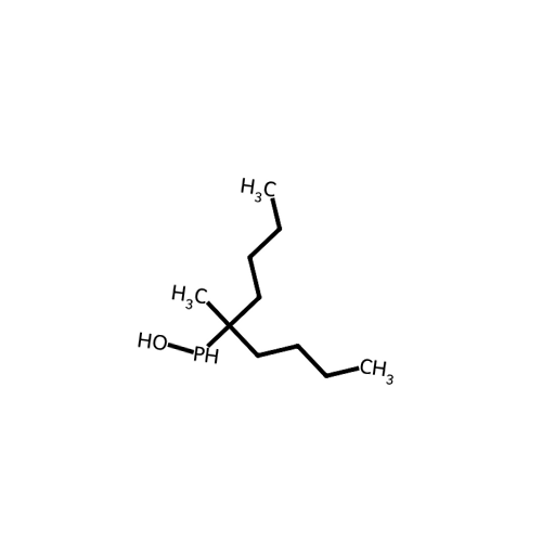 CCCCC(C)(CCCC)PO